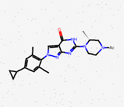 CC(=O)N1CCN(c2nc3nn(-c4c(C)cc(C5CC5)cc4C)cc3c(=O)[nH]2)[C@H](C)C1